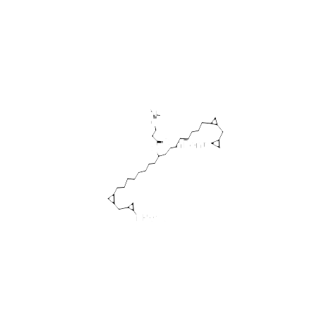 CCCCCC1CC1CC1CC1CCCCCCCCC(CCCCCCCCC1CC1CC1C[C@@H]1CCCCC)OC(=O)CCCN(C)C